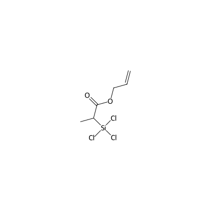 C=CCOC(=O)C(C)[Si](Cl)(Cl)Cl